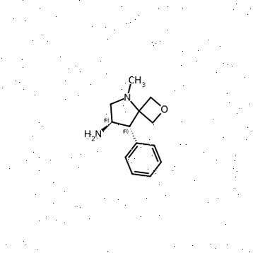 CN1C[C@H](N)[C@@H](c2ccccc2)C12COC2